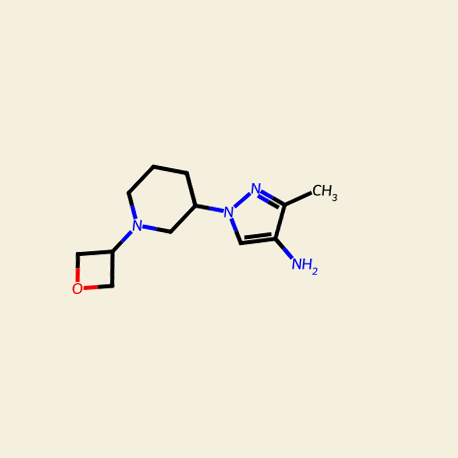 Cc1nn(C2CCCN(C3COC3)C2)cc1N